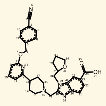 N#Cc1ccc(COc2cccc(C3CCN(Cc4nc5ccc(C(=O)O)cc5n4CC4CCCO4)CC3)n2)cc1